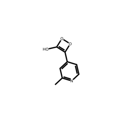 Cc1cc(-c2ooc2O)ccn1